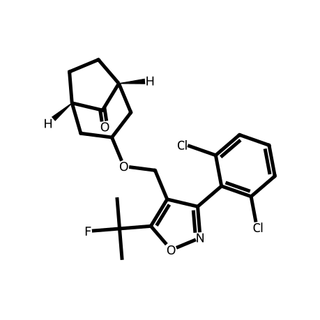 CC(C)(F)c1onc(-c2c(Cl)cccc2Cl)c1COC1C[C@H]2CC[C@@H](C1)C2=O